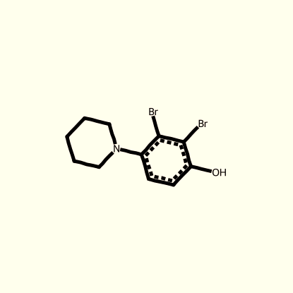 Oc1ccc(N2CCCCC2)c(Br)c1Br